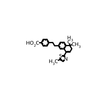 Cc1cnc(C2=CCC(C)(C)c3ccc(CCc4ccc(C(=O)O)cc4)cc32)s1